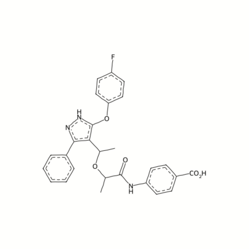 CC(OC(C)c1c(-c2ccccc2)n[nH]c1Oc1ccc(F)cc1)C(=O)Nc1ccc(C(=O)O)cc1